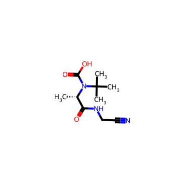 C[C@@H](C(=O)NCC#N)N(C(=O)O)C(C)(C)C